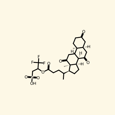 CC(CCC(=O)OC(CS(=O)(=O)O)C(F)(F)F)[C@@H]1CC[C@@H]2[C@@H]3C(=O)C[C@@H]4CC(=O)CC[C@]4(C)[C@@H]3CC(=O)[C@@]21C